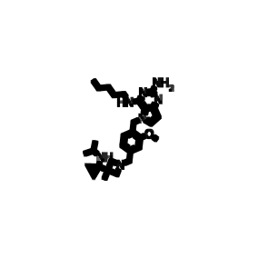 CCCCCNc1nc(N)nc2ccn(Cc3ccc(CN4CC(C)(C5(NC(C)C)CC5)C4)cc3OC)c12